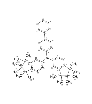 CC1(C)c2ccc(N(c3ccc(-c4ccccc4)cc3)c3ccc4c(c3)C(C)(C)C(C)(C)C4(C)C)cc2C(C)(C)C1(C)C